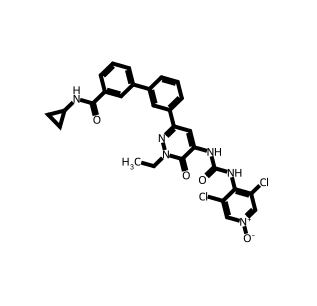 CCn1nc(-c2cccc(-c3cccc(C(=O)NC4CC4)c3)c2)cc(NC(=O)Nc2c(Cl)c[n+]([O-])cc2Cl)c1=O